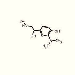 CC(C)NCC(O)c1ccc(O)c(N(C)C)c1